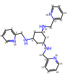 c1ccc(CNC2C[C@H](NCc3ccccn3)C[C@H](NCc3ccccn3)C2)nc1